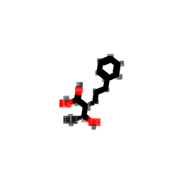 C[C@@H](O)[C@@H](CCCc1ccccc1)C(=O)O